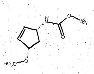 CC(C)(C)OC(=O)N[C@H]1C=C[C@@H](OC(=O)O)C1